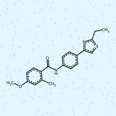 CCc1nc(-c2ccc(NC(=O)c3ccc(OC)cc3C)cc2)cs1